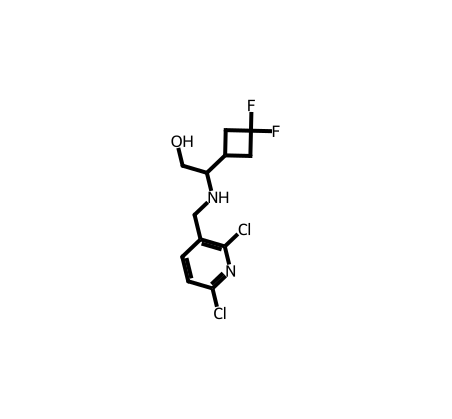 OCC(NCc1ccc(Cl)nc1Cl)C1CC(F)(F)C1